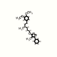 COc1ccc(CCN(C)CCCOc2noc(-c3ccccc3)c2C)cc1OC